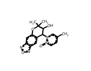 Cc1cc[n+](=O)n(C2c3cc4nonc4cc3OC(C)(C)C2O)c1